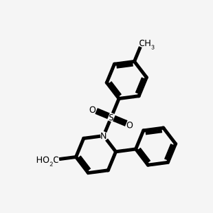 Cc1ccc(S(=O)(=O)N2CC(C(=O)O)=CCC2c2ccccc2)cc1